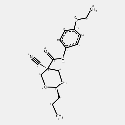 CCC[C@H]1OC[C@@](C#N)(C(=O)Oc2ccc(OCC)cc2)CO1